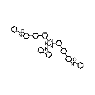 c1ccc(-c2nc3ccc(-c4ccc(-c5cccc(-c6nc(-c7cccc(-c8ccc(-c9ccc%10nc(-c%11ccccc%11)oc%10c9)cc8)c7)nc(-n7c8ccccc8c8ccccc87)n6)c5)cc4)cc3o2)cc1